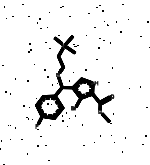 COC(=O)c1[nH]cc(C(OCC[Si](C)(C)C)c2ccc(F)cc2)c1Br